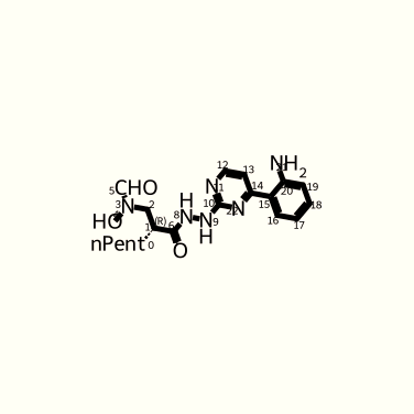 CCCCC[C@H](CN(O)C=O)C(=O)NNc1nccc(-c2ccccc2N)n1